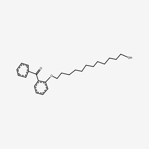 O=C(c1ccccc1)c1ccccc1OCCCCCCCCCCCCO